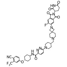 N#Cc1ccc(O[C@H]2CC[C@H](NC(=O)c3ccc(N4CCC(CN5CCC6(CC5)CN(c5cc7c(cc5F)C(=O)N(C5CCC(=O)NC5=O)C7=O)C6)CC4)nn3)CC2)cc1C(F)(F)F